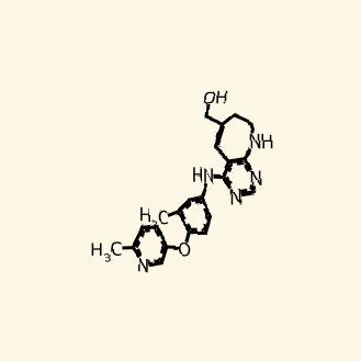 Cc1ccc(Oc2ccc(Nc3ncnc4c3C=C(CO)CCN4)cc2C)cn1